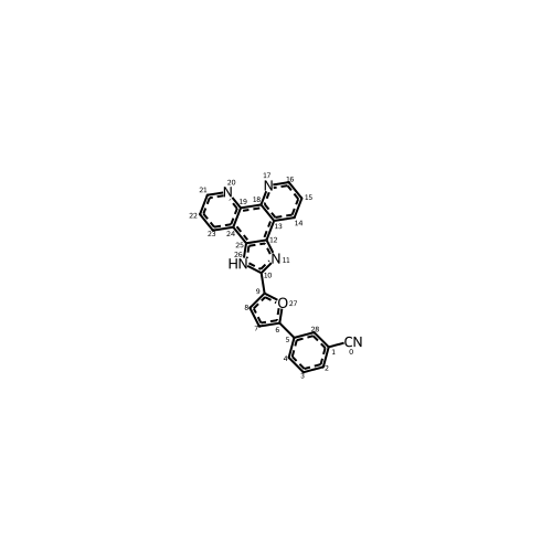 N#Cc1cccc(-c2ccc(-c3nc4c5cccnc5c5ncccc5c4[nH]3)o2)c1